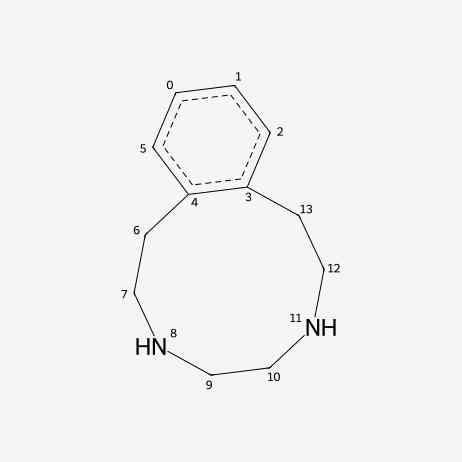 c1ccc2c(c1)CCNCCNCC2